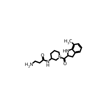 Cc1cccc2c1NC(C(=O)N1CCCC(NC(=O)CCN)C1)C2